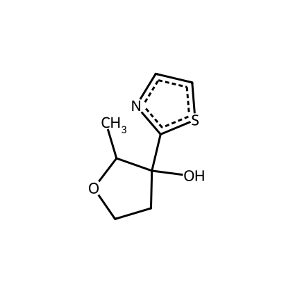 CC1OCCC1(O)c1nccs1